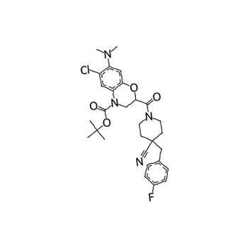 CN(C)c1cc2c(cc1Cl)N(C(=O)OC(C)(C)C)CC(C(=O)N1CCC(C#N)(Cc3ccc(F)cc3)CC1)O2